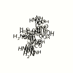 CC(C)C[C@H](NC(=O)[C@H](Cc1ccc(O)cc1)NC(=O)[C@H](CCCNC(=N)N)NC(=O)[C@H](CC(=O)O)NC(=O)[C@@H](N)CO)C(=O)N[C@@H](CC(N)=O)C(=O)N[C@@H](CCCNC(=N)N)C(=O)N[C@@H](CCCNC(=N)N)C(=O)N[C@@H](C)C(=O)O